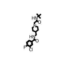 CC(C)(C)NC(=O)CN1CCC(CNC(=O)c2ccc(F)c(Cl)c2)CC1